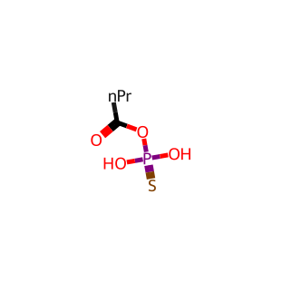 CCCC(=O)OP(O)(O)=S